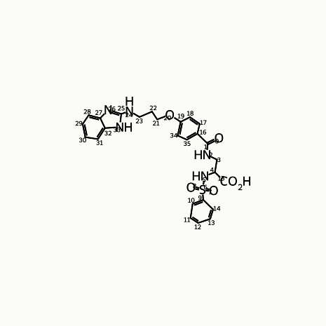 O=C(NCC(NS(=O)(=O)c1ccccc1)C(=O)O)c1ccc(OCCCNc2nc3ccccc3[nH]2)cc1